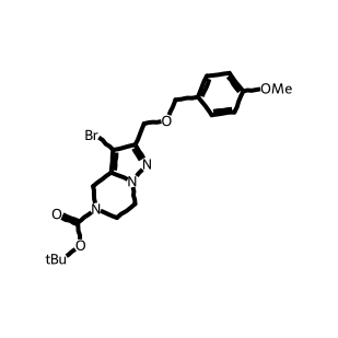 COc1ccc(COCc2nn3c(c2Br)CN(C(=O)OC(C)(C)C)CC3)cc1